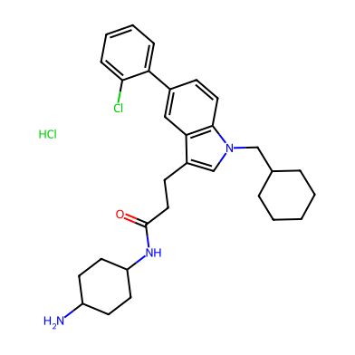 Cl.NC1CCC(NC(=O)CCc2cn(CC3CCCCC3)c3ccc(-c4ccccc4Cl)cc23)CC1